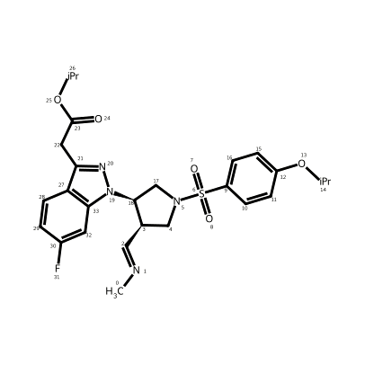 CN=C[C@@H]1CN(S(=O)(=O)c2ccc(OC(C)C)cc2)C[C@@H]1n1nc(CC(=O)OC(C)C)c2ccc(F)cc21